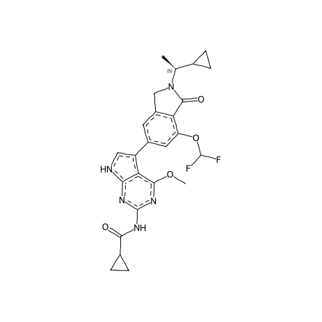 COc1nc(NC(=O)C2CC2)nc2[nH]cc(-c3cc4c(c(OC(F)F)c3)C(=O)N([C@@H](C)C3CC3)C4)c12